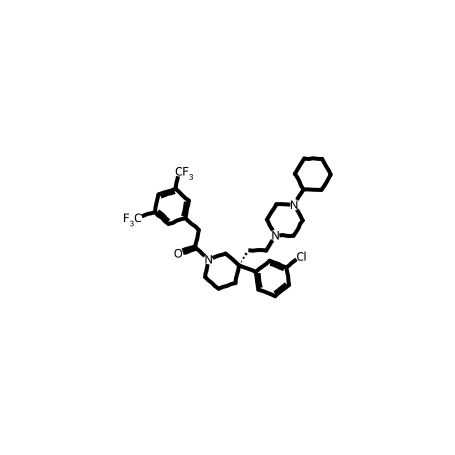 O=C(Cc1cc(C(F)(F)F)cc(C(F)(F)F)c1)N1CCC[C@](CCN2CCN(C3CCCCC3)CC2)(c2cccc(Cl)c2)C1